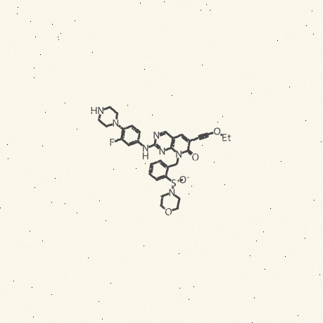 CCOC#Cc1cc2cnc(Nc3ccc(N4CCNCC4)c(F)c3)nc2n(Cc2ccccc2[S+]([O-])N2CCOCC2)c1=O